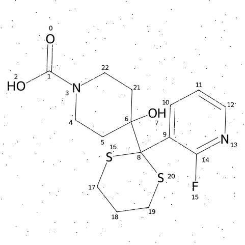 O=C(O)N1CCC(O)(C2(c3cccnc3F)SCCCS2)CC1